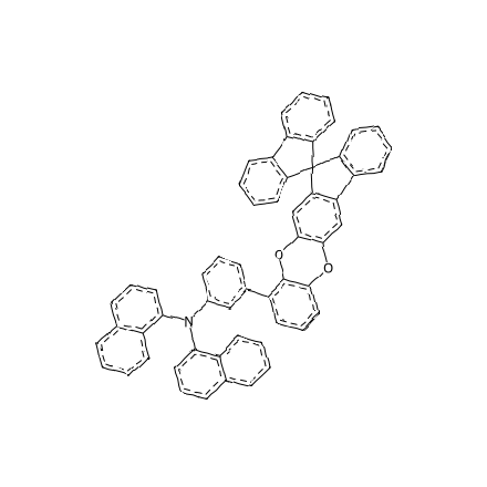 c1cc(-c2cccc3c2Oc2cc4c(cc2O3)-c2ccccc2C42c3ccccc3-c3ccccc32)cc(N(c2cccc3ccccc23)c2cccc3ccccc23)c1